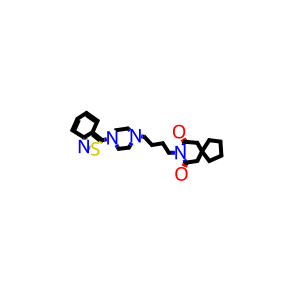 O=C1CC2(CCCC2)CC(=O)N1CCCCN1CCN(c2snc3ccccc23)CC1